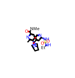 CCNS(=O)(=O)Nc1cc(CN2C3CCC2CN(c2ccc(C(=O)NC)nc2C)C3)ccn1